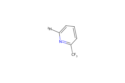 [2H]c1cccc(C(F)(F)F)n1